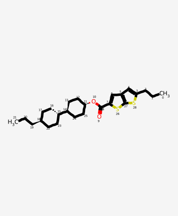 CCCc1cc2cc(C(=O)O[C@H]3CC[C@H]([C@H]4CC[C@H](CCC)CC4)CC3)sc2s1